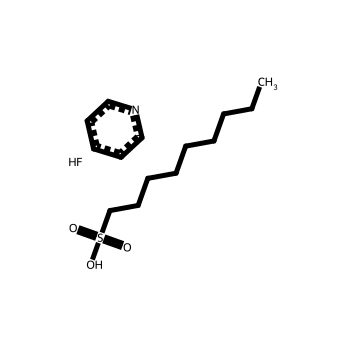 CCCCCCCCCS(=O)(=O)O.F.c1ccncc1